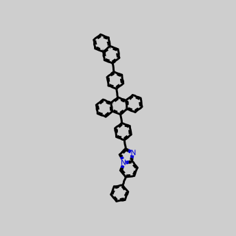 c1ccc(-c2ccc3nc(-c4ccc(-c5c6ccccc6c(-c6ccc(-c7ccc8ccccc8c7)cc6)c6ccccc56)cc4)cn3c2)cc1